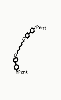 CCCCCC1CCC(c2ccc(OCCCCCCCOc3ccc(C4CCC(CCCCC)CC4)cc3)cc2)CC1